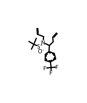 C=CCC(c1ccc(C(F)(F)F)cc1)N(CC=C)[S+]([O-])C(C)(C)C